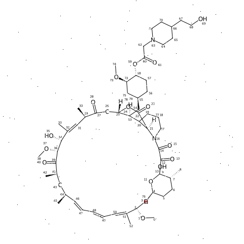 CO[C@H]1C[C@@H]2CC[C@@H](C)[C@@](O)(O2)C(=O)C(=O)N2CCCC3[C@H]2C(=O)O[C@@H](CC(=O)[C@H](C)/C=C(\C)[C@@H](O)[C@@H](OC)C(=O)[C@H](C)C[C@H](C)/C=C/C=C/C=C/1C)[C@H]3C[C@@H]1CC[C@@H](OC(=O)CN2CCC(CCO)CC2)[C@H](OC)C1